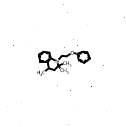 CC1CC(C)(C)N(CCOc2ccccc2)c2ccccc21